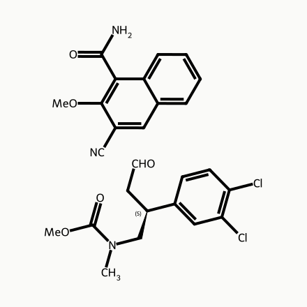 COC(=O)N(C)C[C@@H](CC=O)c1ccc(Cl)c(Cl)c1.COc1c(C#N)cc2ccccc2c1C(N)=O